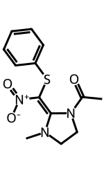 CC(=O)N1CCN(C)C1=C(Sc1ccccc1)[N+](=O)[O-]